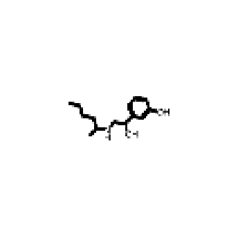 CCCCC(C)NC[C@H](O)c1cccc(O)c1